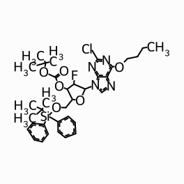 CCCCOc1nc(Cl)nc2c1ncn2C1OC(CO[Si](c2ccccc2)(c2ccccc2)C(C)(C)C)C(OC(=O)OC(C)(C)C)C1F